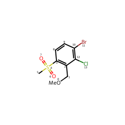 COCc1c(S(C)(=O)=O)ccc(Br)c1Cl